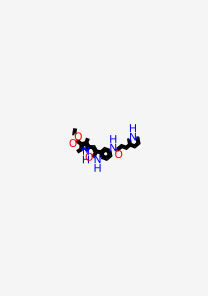 CCOC(=O)c1c(C)[nH]c(C=C2C(=O)Nc3ccc(NC(=O)CCC4CCCNC4)cc32)c1C